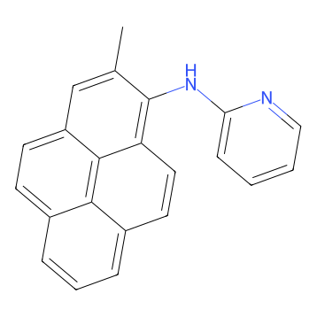 Cc1cc2ccc3cccc4ccc(c1Nc1ccccn1)c2c34